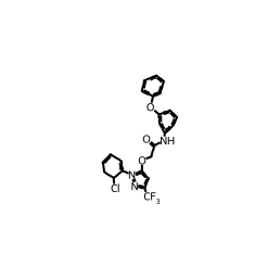 O=C(COc1cc(C(F)(F)F)nn1C1=CC=CCC1Cl)Nc1cccc(Oc2ccccc2)c1